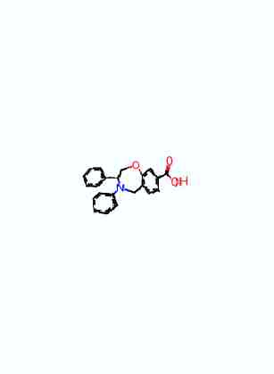 O=C(O)c1ccc2c(c1)OC[C@H](c1ccccc1)N(c1ccccc1)C2